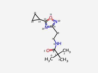 CC(C)(C)C(=O)NCCc1noc(C2CC2)n1